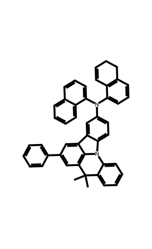 CC1(C)c2ccccc2-n2c3ccc(N(c4cccc5c4C=CCC5)c4cccc5ccccc45)cc3c3cc(-c4ccccc4)cc1c32